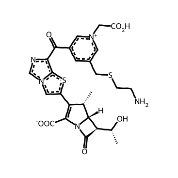 C[C@@H](O)[C@H]1C(=O)N2C(C(=O)[O-])=C(c3cn4cnc(C(=O)c5cc(CSCCN)c[n+](CC(=O)O)c5)c4s3)[C@H](C)[C@H]12